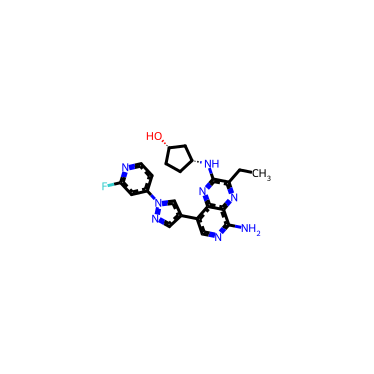 CCc1nc2c(N)ncc(-c3cnn(-c4ccnc(F)c4)c3)c2nc1N[C@@H]1CC[C@H](O)C1